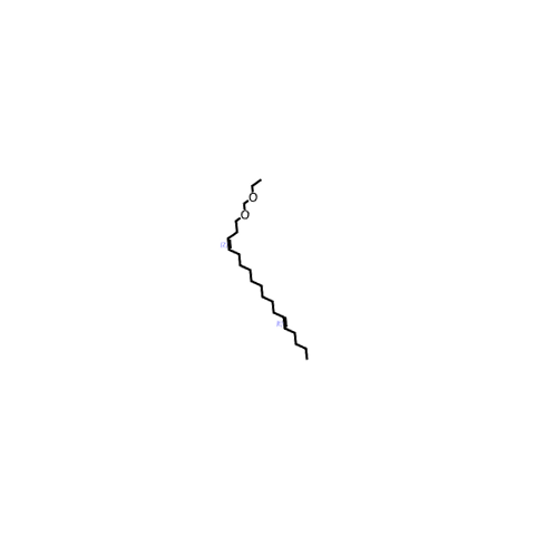 CCCC/C=C/CCCCCCCC/C=C\CCOCOCC